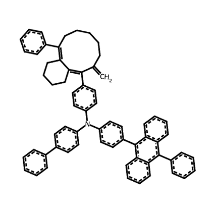 C=C1CCCCC/C(c2ccccc2)=C2/CCCC/C2=C/1c1ccc(N(c2ccc(-c3ccccc3)cc2)c2ccc(-c3c4ccccc4c(-c4ccccc4)c4ccccc34)cc2)cc1